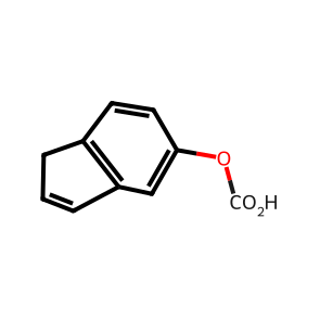 O=C(O)Oc1ccc2c(c1)C=CC2